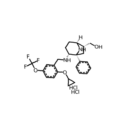 Cl.Cl.OC[C@@H]1C[C@]2(c3ccccc3)N[C@H]1CC[C@H]2NCc1cc(OC(F)(F)F)ccc1OC1CC1